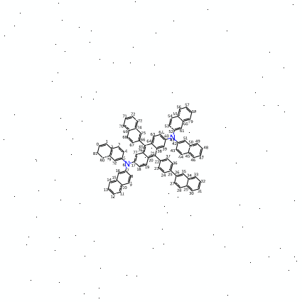 C1=Cc2ccc(N(c3ccc4ccccc4c3)c3ccc4c(-c5ccc(-c6ccc7ccccc7c6)cc5)c5cc(N(c6ccc7ccccc7c6)c6ccc7ccccc7c6)ccc5c(-c5ccc6ccccc6c5)c4c3)cc2CC1